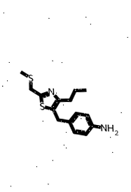 CCCc1nc(CSC)sc1Cc1ccc(N)cc1